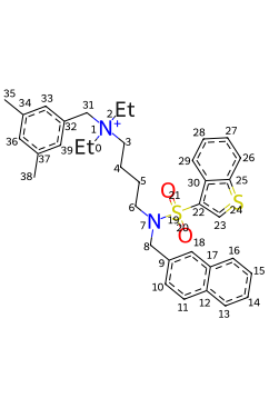 CC[N+](CC)(CCCCN(Cc1ccc2ccccc2c1)S(=O)(=O)c1csc2ccccc12)Cc1cc(C)cc(C)c1